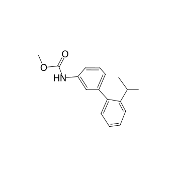 COC(=O)Nc1cccc(-c2ccccc2C(C)C)c1